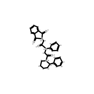 O=C1c2ccccc2C(=O)N1CC(=O)N(CC(=O)N1CCCCC1c1ccccc1)c1ccccc1